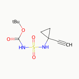 C#CC1(NS(=O)(=O)NC(=O)OC(C)(C)C)CC1